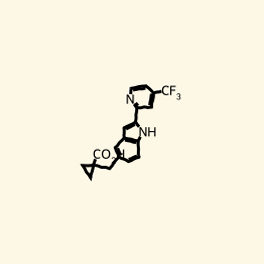 O=C(O)C1(Cc2ccc3[nH]c(-c4cc(C(F)(F)F)ccn4)cc3c2)CC1